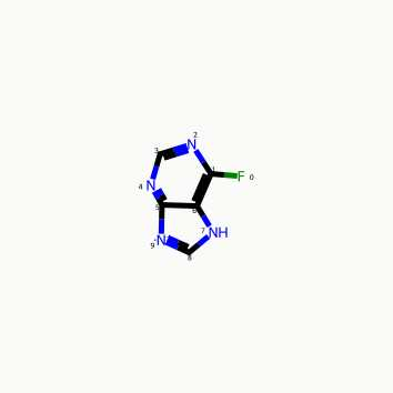 Fc1ncnc2c1NC=[N+]2